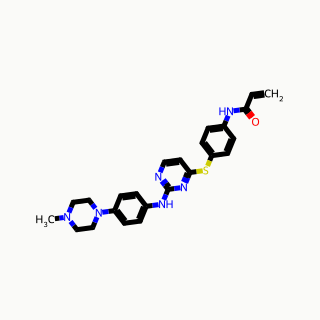 C=CC(=O)Nc1ccc(Sc2ccnc(Nc3ccc(N4CCN(C)CC4)cc3)n2)cc1